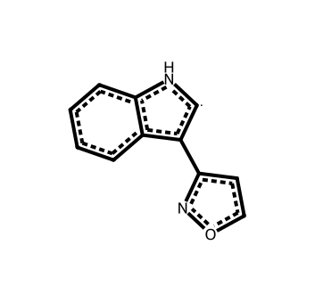 [c]1[nH]c2ccccc2c1-c1ccon1